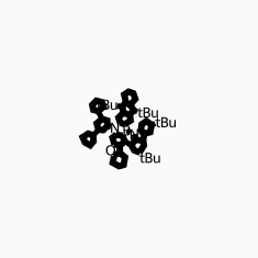 CC(C)(C)c1ccc2c(c1)c1cc(C(C)(C)C)cc3c1n2B1c2cc4c(C(C)(C)C)c5ccccc5c(C(C)(C)C)c4cc2N(c2cc(-c4ccccc4)cc(-c4ccccc4)c2)c2cc4oc5ccccc5c4c-3c21